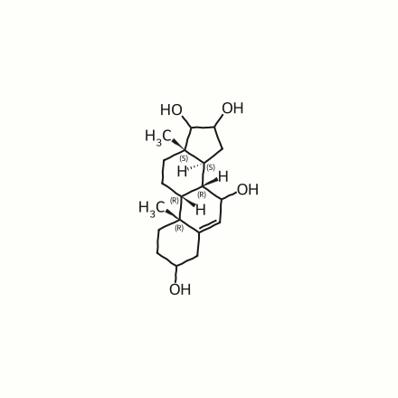 C[C@]12CCC(O)CC1=CC(O)[C@@H]1[C@H]2CC[C@]2(C)C(O)C(O)C[C@@H]12